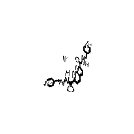 C[n+]1ccc(C=NNC(=O)c2ccc3ccc(C(=O)NN=Cc4cc[n+](C)cc4)nc3n2)cc1.[I-].[I-]